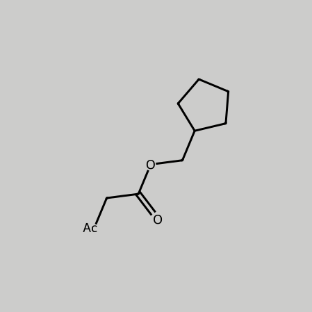 CC(=O)CC(=O)OCC1CCCC1